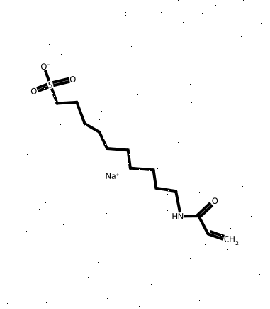 C=CC(=O)NCCCCCCCCCCS(=O)(=O)[O-].[Na+]